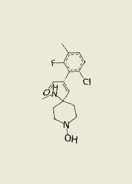 CNC1(/C=C(\C=O)c2c(Cl)ccc(C)c2F)CCN(O)CC1